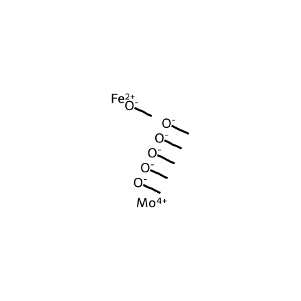 C[O-].C[O-].C[O-].C[O-].C[O-].C[O-].[Fe+2].[Mo+4]